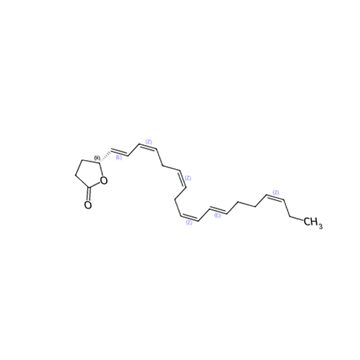 CC/C=C\CC/C=C/C=C\C/C=C\C/C=C\C=C\[C@H]1CCC(=O)O1